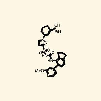 COc1cc(-c2ccc3c(c2NC(=O)NS(=O)(=O)c2ccn(C4C=C(B(O)O)CCC4)n2)CCC3)ccn1